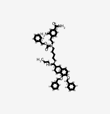 CCCN[C@@H](CCCCCN(CCc1ccc(C(N)=O)cc1N)C(=O)OCc1ccccc1)C1CCc2c(ccc(OCc3ccccc3)c2OCc2ccccc2)C1